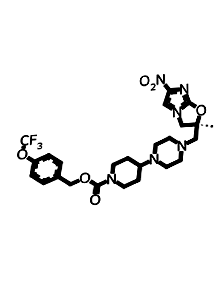 C[C@]1(CN2CCN(C3CCN(C(=O)OCc4ccc(OC(F)(F)F)cc4)CC3)CC2)Cn2cc([N+](=O)[O-])nc2O1